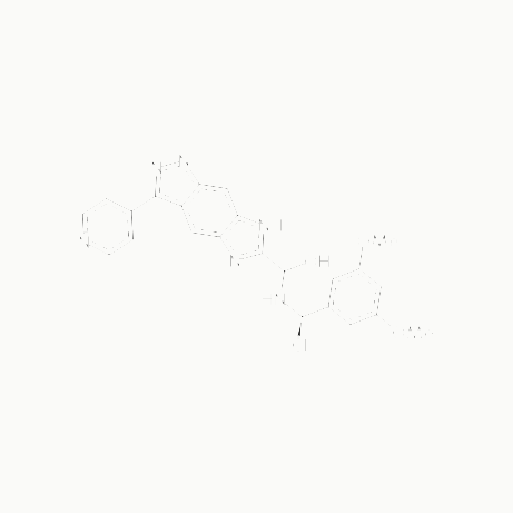 COc1cc(OC)cc([C@@H](C)NC(O)c2nc3cc4c(-c5ccncc5)n[nH]c4cc3[nH]2)c1